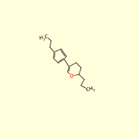 CCCc1ccc(C2=COC(CCC)CC2)cc1